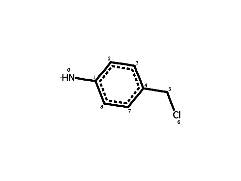 [NH]c1ccc(CCl)cc1